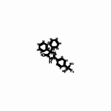 O=C1NC(c2ccc(C(F)(F)F)cc2)=NC1(c1ccccc1)c1ccccc1